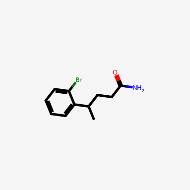 CC(CCC(N)=O)c1ccccc1Br